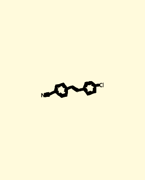 N#Cc1ccc(C=Cc2ccc(Cl)cc2)cc1